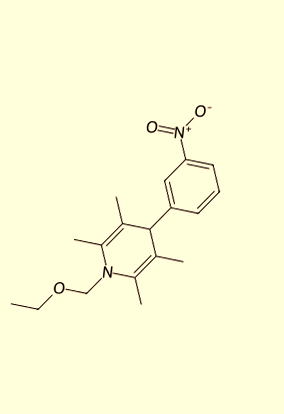 CCOCN1C(C)=C(C)C(c2cccc([N+](=O)[O-])c2)C(C)=C1C